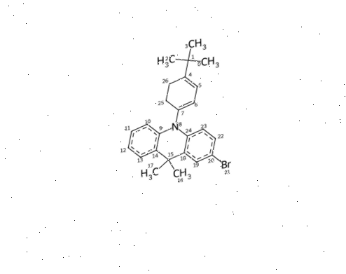 CC(C)(C)C1=CC=C(N2c3ccccc3C(C)(C)c3cc(Br)ccc32)CC1